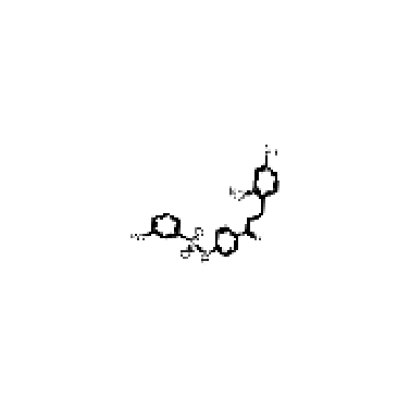 O=C(C=Cc1ccc(O)cc1O)c1ccc(NS(=O)(=O)c2cccc(O)c2)cc1